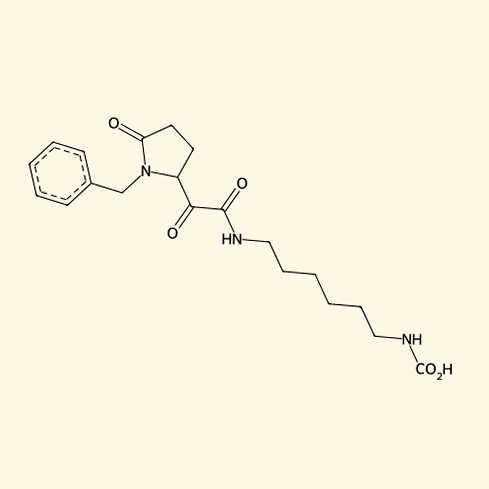 O=C(O)NCCCCCCNC(=O)C(=O)C1CCC(=O)N1Cc1ccccc1